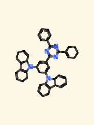 C1=CC2C3=C(C=CCC3)N(C3=CC(c4nc(C5=CCCCC5)nc(-c5ccccc5)n4)=CC(N4C5=C(C=CCC5)C5CCC=CC54)C3)C2C=C1